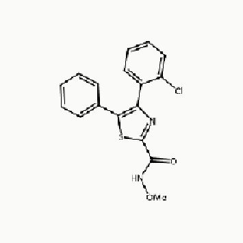 CONC(=O)c1nc(-c2ccccc2Cl)c(-c2ccccc2)s1